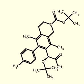 Cc1ccc(-c2c(C)c3c(c(C)c2[C@H](OC(C)(C)C)C(=O)O)CN(C(=O)OC(C)(C)C)CC3)cc1